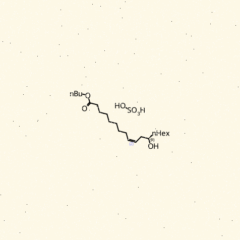 CCCCCC[C@@H](O)C/C=C\CCCCCCCC(=O)OCCCC.O=S(=O)(O)O